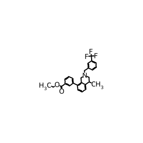 CCOC(=O)c1cccc(-c2cccc3c2CN(Cc2cccc(C(F)(F)F)c2)CC3C)c1